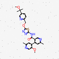 COc1cnc(C)cc1-c1cc(C)ncc1C(=O)Nc1nnc(OCc2ccc(C(C)(C)OC)cn2)s1